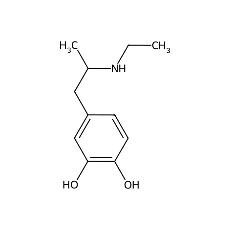 CCNC(C)Cc1ccc(O)c(O)c1